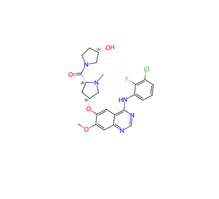 COc1cc2ncnc(Nc3cccc(Cl)c3F)c2cc1O[C@@H]1C[C@H](C(=O)N2CC[C@H](O)C2)N(C)C1